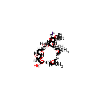 C=C1C[C@@H]2CC[C@]34C[C@@H](O)C(O3)[C@H]3CC(O4)[C@H]4O[C@H](CC[C@@H]4O3)CC(=O)O[C@@H]3[C@@H](C)[C@@H]4O[C@H](CI)C(O[Si](CC)(CC)CC)C[C@@H]4O[C@H]3C[C@H]3O[C@@H](CC[C@@H]1O2)C[C@@H](C)C3=C